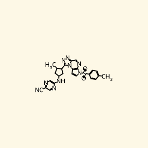 Cc1ccc(S(=O)(=O)n2ccc3c2ncc2nnc(C4CC(Nc5cnc(C#N)cn5)CC4C)n23)cc1